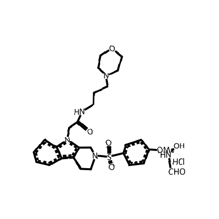 COc1ccc(S(=O)(=O)N2CCc3c(n(CC(=O)NCCCN4CCOCC4)c4ccccc34)C2)cc1.Cl.O=CNO